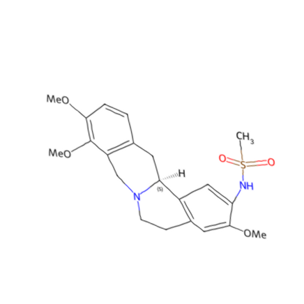 COc1cc2c(cc1NS(C)(=O)=O)[C@@H]1Cc3ccc(OC)c(OC)c3CN1CC2